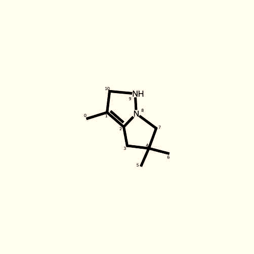 CC1=C2CC(C)(C)CN2NC1